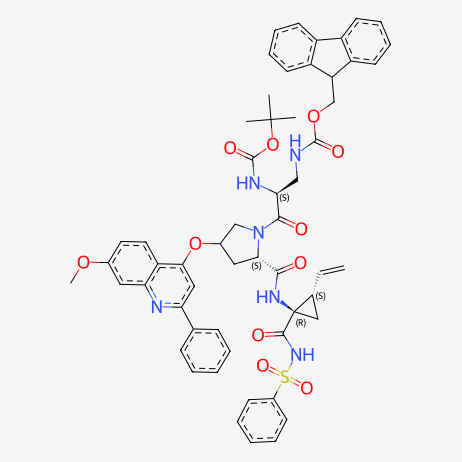 C=C[C@@H]1C[C@]1(NC(=O)[C@@H]1CC(Oc2cc(-c3ccccc3)nc3cc(OC)ccc23)CN1C(=O)[C@H](CNC(=O)OCC1c2ccccc2-c2ccccc21)NC(=O)OC(C)(C)C)C(=O)NS(=O)(=O)c1ccccc1